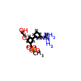 CS(=O)(=O)OC(=O)c1cc(OCCO)cc(-c2ccccc2)c1.N=C(N)N